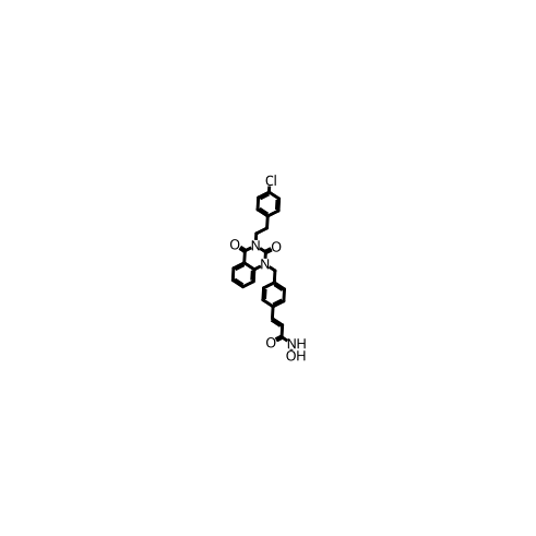 O=C(/C=C/c1ccc(Cn2c(=O)n(CCc3ccc(Cl)cc3)c(=O)c3ccccc32)cc1)NO